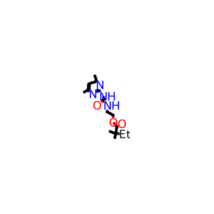 CCC(C)(C)C(=O)OCCNC(=O)Nc1nc(C)cc(C)n1